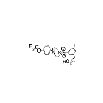 Cc1cc(CC(=O)O)cc(S(=O)(=O)N2CCN(c3ccc(OC(F)(F)F)cc3)CC2)c1